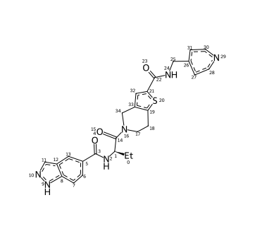 CC[C@@H](NC(=O)c1ccc2[nH]ncc2c1)C(=O)N1CCc2sc(C(=O)NCc3ccncc3)cc2C1